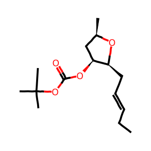 CC/C=C/C[C@@H]1O[C@H](C)C[C@@H]1OC(=O)OC(C)(C)C